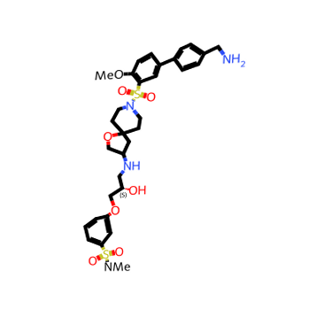 CNS(=O)(=O)c1cccc(OC[C@@H](O)CNC2COC3(CCN(S(=O)(=O)c4cc(-c5ccc(CN)cc5)ccc4OC)CC3)C2)c1